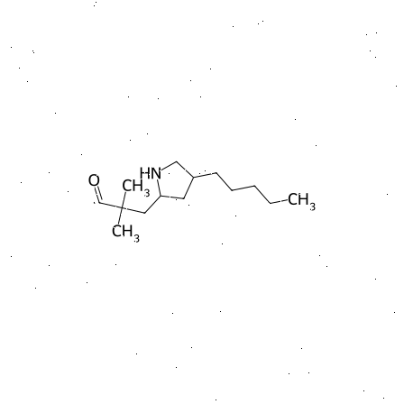 CCCCCC1CNC(CC(C)(C)[C]=O)C1